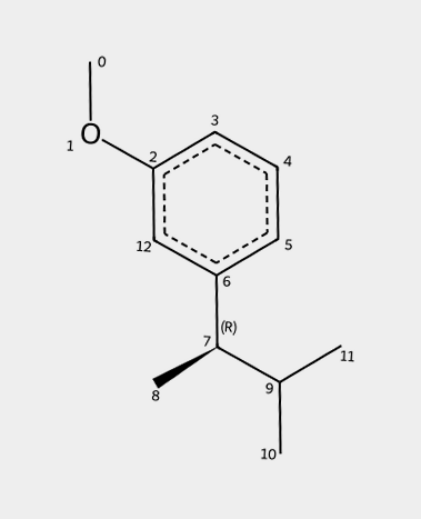 COc1cccc([C@H](C)C(C)C)c1